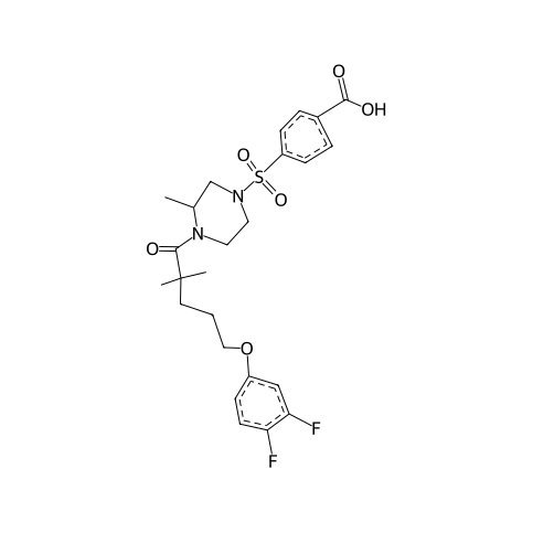 CC1CN(S(=O)(=O)c2ccc(C(=O)O)cc2)CCN1C(=O)C(C)(C)CCCOc1ccc(F)c(F)c1